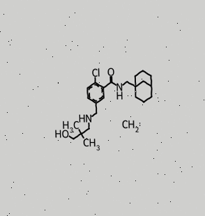 CC(C)(CO)CNCc1ccc(Cl)c(C(=O)NCC23CCCC(CCC2)C3)c1.[CH2]